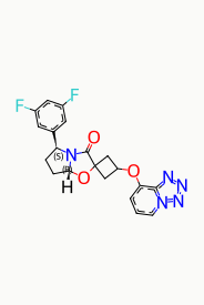 O=C1N2[C@@H](CC[C@H]2c2cc(F)cc(F)c2)OC12CC(Oc1cccn3nnnc13)C2